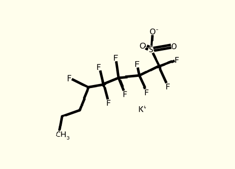 CCCC(F)C(F)(F)C(F)(F)C(F)(F)C(F)(F)S(=O)(=O)[O-].[K+]